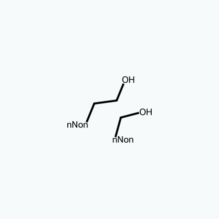 CCCCCCCCCCCO.CCCCCCCCCCO